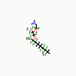 CCC(C)(C)C(F)(F)C(F)(F)C(C)(C)C(C)(C)C(F)(F)C(F)(OC(F)(F)C(F)(OC(F)(F)CN(C)C)C(F)(F)F)C(C)(C)C